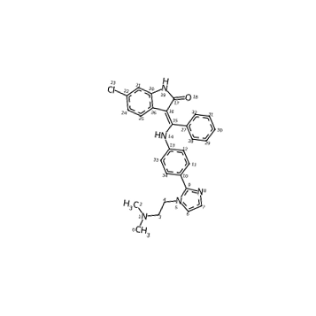 CN(C)CCn1ccnc1-c1ccc(NC(=C2C(=O)Nc3cc(Cl)ccc32)c2ccccc2)cc1